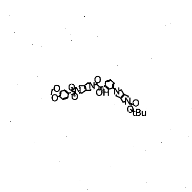 CC(C)(C)OC(=O)N1CC2=C(C1)CN(c1cccc([C@H](O)C(=O)N3CC4=C(C3)CN(S(=O)(=O)c3ccc5c(c3)OCCO5)C4)c1)C2